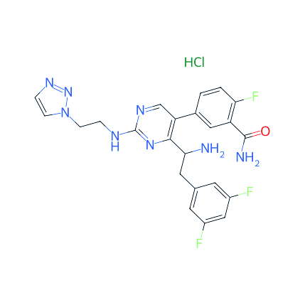 Cl.NC(=O)c1cc(-c2cnc(NCCn3ccnn3)nc2C(N)Cc2cc(F)cc(F)c2)ccc1F